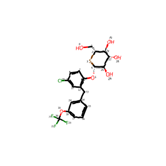 OC[C@H]1S[C@@H](Oc2ccc(Cl)cc2Cc2cccc(OC(F)(F)F)c2)[C@H](O)[C@@H](O)[C@@H]1O